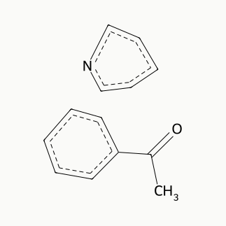 CC(=O)c1ccccc1.c1ccncc1